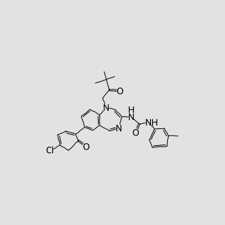 Cc1cccc(NC(=O)NC2=CN(CC(=O)C(C)(C)C)c3ccc(C4=CC=C(Cl)CC4=O)cc3C=N2)c1